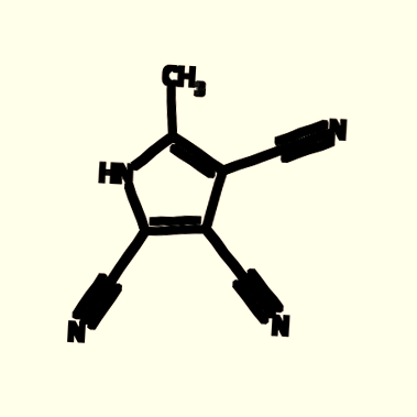 Cc1[nH]c(C#N)c(C#N)c1C#N